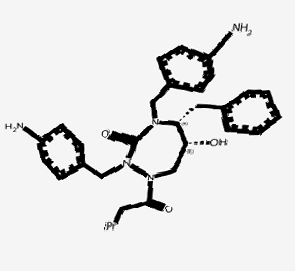 CC(C)CC(=O)N1C[C@@H](O)[C@@H](Cc2ccccc2)N(Cc2ccc(N)cc2)C(=O)N1Cc1ccc(N)cc1